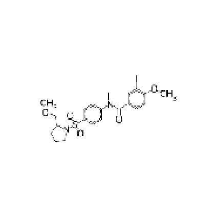 COCC1CCCN1S(=O)(=O)c1ccc(NC(=O)c2ccc(OC)c(I)c2)cc1